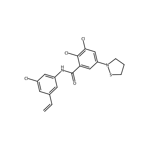 C=Cc1cc(Cl)cc(NC(=O)c2cc(N3CCCS3)cc(Cl)c2Cl)c1